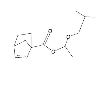 CC(C)COC(C)OC(=O)C12C=CC(CC1)C2